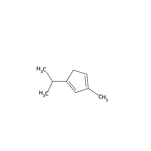 CC1=CCC(C(C)C)=C1